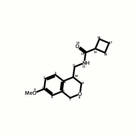 COc1ccc2c(c1)COCC2CNC(=O)C1CCC1